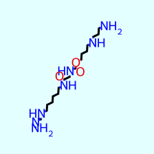 NCCCNCCCCOC(=O)NCC(=O)NCCCCCCNC=NN